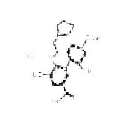 CCCC(=O)c1cc(C)c(OCCN2CCCC2)c(-c2ccc(OC)cc2C)c1.Cl